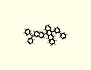 c1ccc(-c2cccc(-c3c4ccccc4c(-c4ccc5cc(N(c6ccccc6)c6ccccc6)ccc5c4)c4cc5ccccc5cc34)c2)cc1